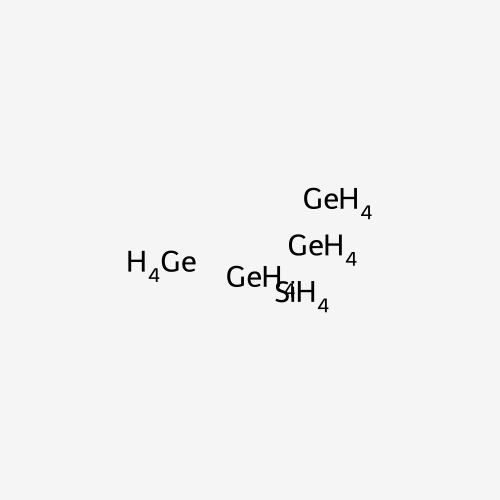 [GeH4].[GeH4].[GeH4].[GeH4].[SiH4]